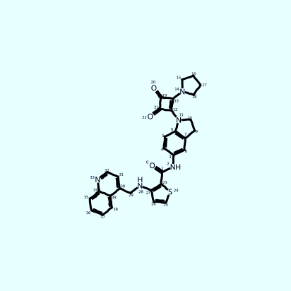 O=C(Nc1ccc2c(c1)CCN2c1c(N2CCCC2)c(=O)c1=O)c1sccc1NCc1ccnc2ccccc12